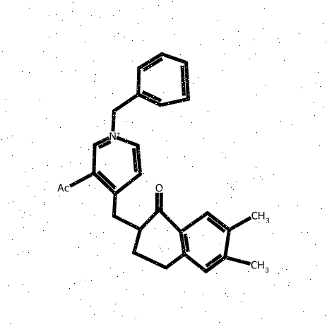 CC(=O)c1c[n+](Cc2ccccc2)ccc1CC1CCc2cc(C)c(C)cc2C1=O